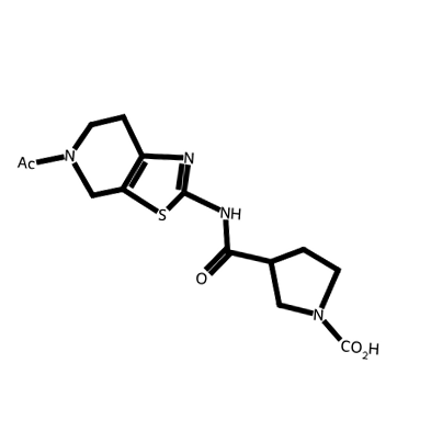 CC(=O)N1CCc2nc(NC(=O)C3CCN(C(=O)O)C3)sc2C1